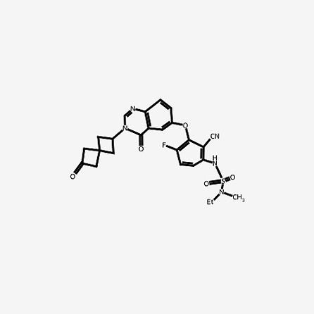 CCN(C)S(=O)(=O)Nc1ccc(F)c(Oc2ccc3ncn(C4CC5(CC(=O)C5)C4)c(=O)c3c2)c1C#N